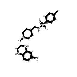 O=S(=O)(NCC1CCN(C[C@H]2COc3ccc(Cl)cc3O2)CC1)c1ccc(I)cc1